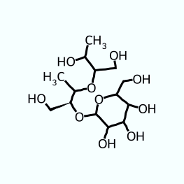 CC(O)C(CO)OC(C)[C@H](CO)OC1OC(CO)C(O)C(O)C1O